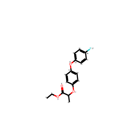 CCOC(=O)C(C)Oc1ccc(Oc2ccc(F)cc2)cc1